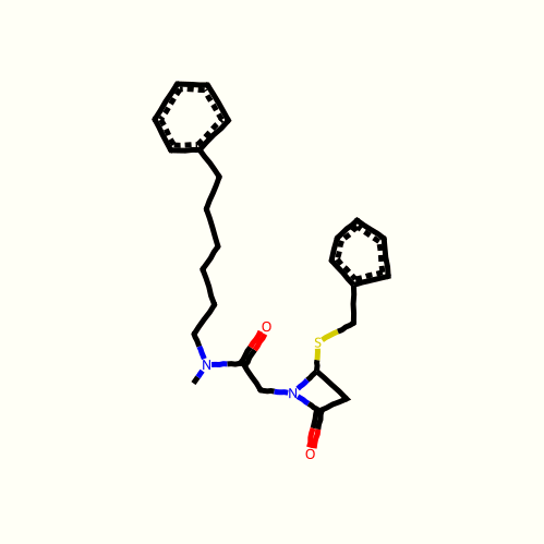 CN(CCCCCCc1ccccc1)C(=O)CN1C(=O)CC1SCc1ccccc1